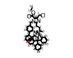 CCCCc1nc(CCl)c(C(=O)OCC)n1Cc1ccc(-c2ccccc2-c2nnnn2C(c2ccccc2)(c2ccccc2)c2ccccc2)cc1